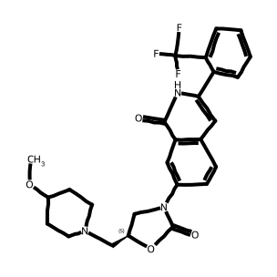 COC1CCN(C[C@H]2CN(c3ccc4cc(-c5ccccc5C(F)(F)F)[nH]c(=O)c4c3)C(=O)O2)CC1